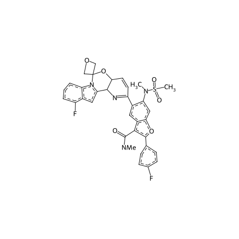 CNC(=O)c1c(-c2ccc(F)cc2)oc2cc(N(C)S(C)(=O)=O)c(C3=NC4c5cc6c(F)cccc6n5C5(COC5)OC4C=C3)cc12